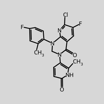 Cc1cc(F)ccc1N1CN(c2ccc(=O)[nH]c2C)C(=O)c2cc(F)c(Cl)nc21